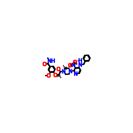 CNC(=O)c1ccc(O[C@@H](C)C(=O)N2CCN(c3nccc(NCc4ccccc4)c3[N+](=O)[O-])C[C@H]2C)c(OC)c1